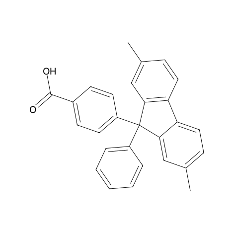 Cc1ccc2c(c1)C(c1ccccc1)(c1ccc(C(=O)O)cc1)c1cc(C)ccc1-2